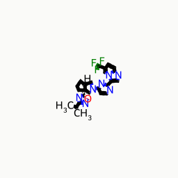 CC(C)c1noc([C@]23CCC[C@H]2CN(c2ccnc(-c4cnc5ccc(C(F)(F)F)cn45)n2)C3)n1